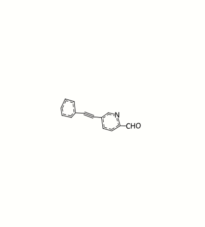 O=Cc1ccc(C#Cc2ccccc2)cn1